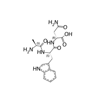 C[C@H](N)C(=O)N[C@@H](Cc1c[nH]c2ccccc12)C(=O)N[C@H](CC(N)=O)C(=O)O